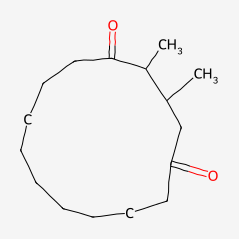 CC1CC(=O)CCCCCCCCCC(=O)C1C